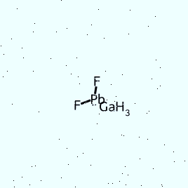 [F][Pb][F].[GaH3]